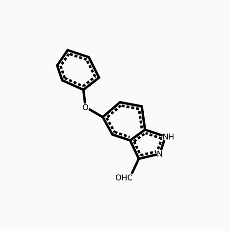 O=Cc1n[nH]c2ccc(Oc3ccccc3)cc12